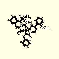 COc1ccccc1C1CCN(C(=O)[C@@H](Cc2ccccc2)NC(=O)[C@@H]2Cc3ccccc3C(C(C)(C)C)N2C(=O)O)CC1